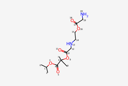 CC(C)OC(=O)C(C)(C)OC(=O)CNCCOC(=O)CN